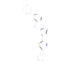 N#Cc1cc(-c2ccnc(Nc3ccnc(N4CCOCC4)c3)n2)cnc1N1CC[C@H](F)C1